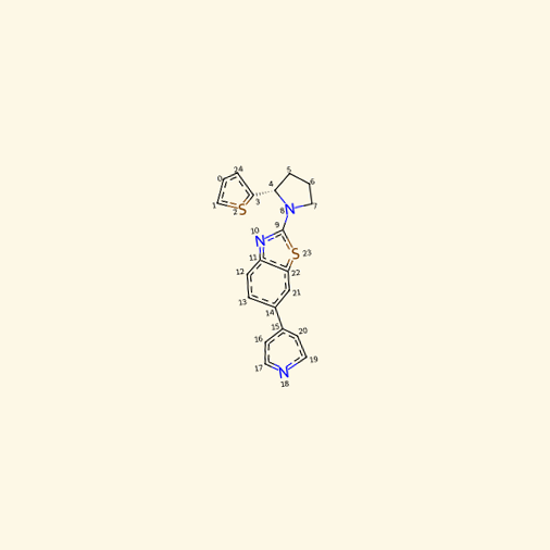 c1csc([C@@H]2CCCN2c2nc3ccc(-c4ccncc4)cc3s2)c1